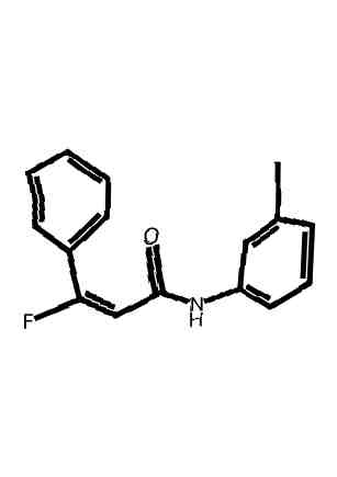 Cc1cccc(NC(=O)/C=C(/F)c2ccccc2)c1